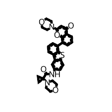 O=C(Nc1ccc2sc3c(-c4cccc5c(=O)cc(N6CCOCC6)oc45)cccc3c2c1)C1(N2CCOCC2)CC1